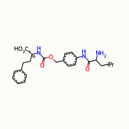 CC(C)CC(N)C(=O)Nc1ccc(COC(=O)N[C@@H](CCc2ccccc2)C(=O)O)cc1